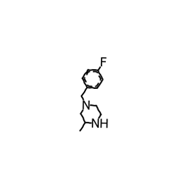 CC1CN(Cc2ccc(F)cc2)CCN1